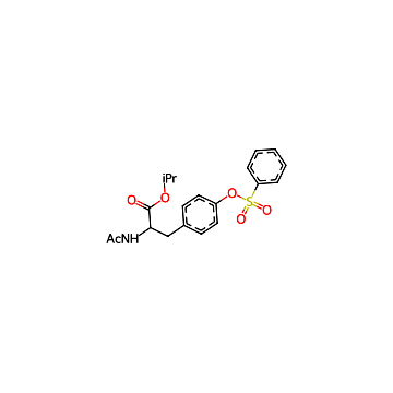 CC(=O)NC(Cc1ccc(OS(=O)(=O)c2ccccc2)cc1)C(=O)OC(C)C